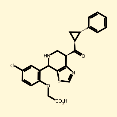 O=C(O)COc1ccc(Cl)cc1C1NC[C@@H](C(=O)[C@H]2C[C@@H]2c2ccccc2)c2ncsc21